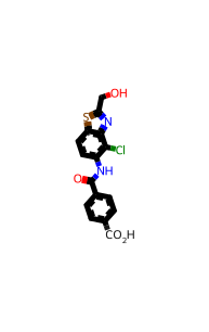 O=C(O)c1ccc(C(=O)Nc2ccc3sc(CO)nc3c2Cl)cc1